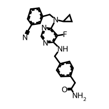 N#Cc1cccc(CN(c2ncnc(NCc3ccc(CC(N)=O)cc3)c2F)C2CC2)c1